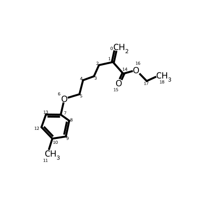 C=C(CCCCOc1ccc(C)cc1)C(=O)OCC